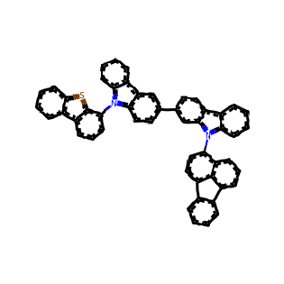 c1ccc2c(c1)-c1cccc3c(-n4c5ccccc5c5ccc(-c6ccc7c(c6)c6ccccc6n7-c6cccc7c6sc6ccccc67)cc54)ccc-2c13